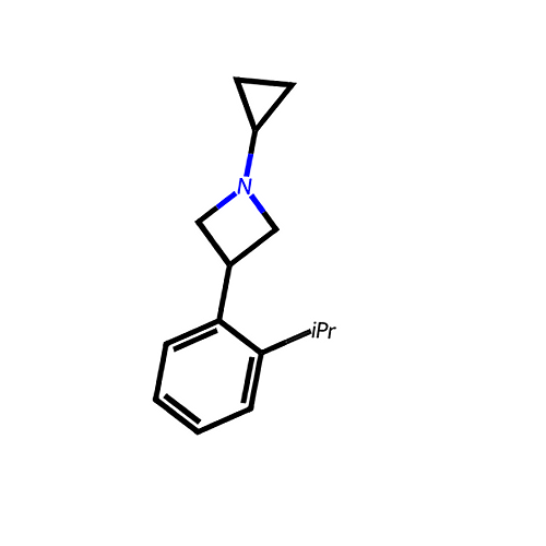 CC(C)c1ccccc1C1CN(C2CC2)C1